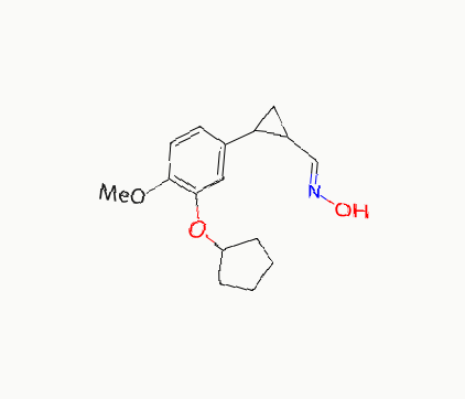 COc1ccc(C2CC2C=NO)cc1OC1CCCC1